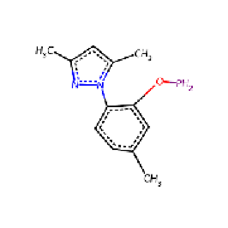 Cc1ccc(-n2nc(C)cc2C)c(OP)c1